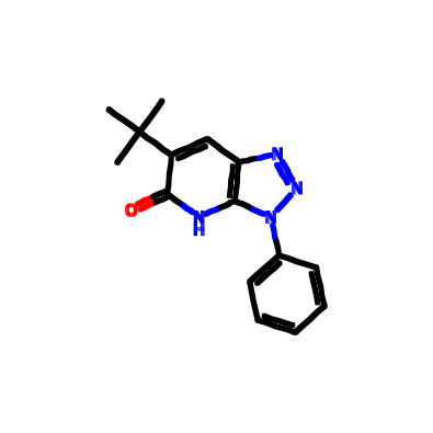 CC(C)(C)c1cc2nnn(-c3ccccc3)c2[nH]c1=O